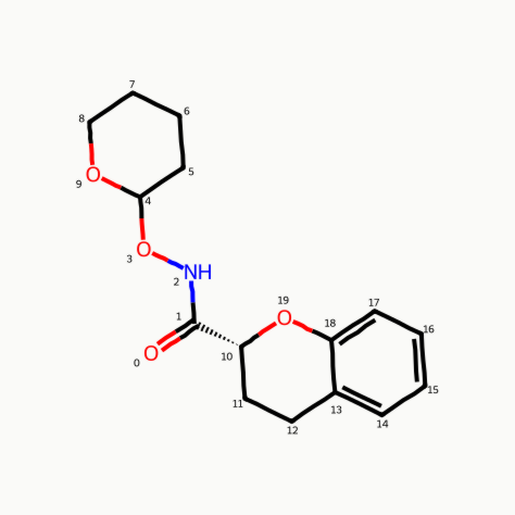 O=C(NOC1CCCCO1)[C@H]1CCc2ccccc2O1